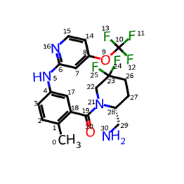 Cc1ccc(Nc2cc(OC(F)(F)F)ccn2)cc1C(=O)N1CC(F)(F)CC[C@@H]1CN